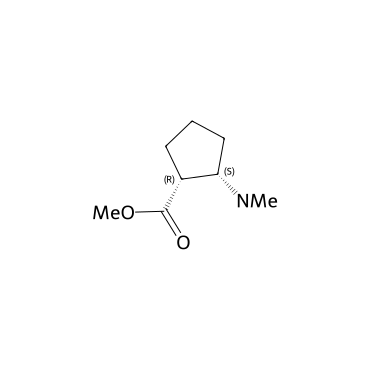 CN[C@H]1CCC[C@H]1C(=O)OC